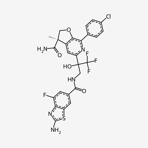 C[C@]1(C(N)=O)COc2c1cc(C(O)(CNC(=O)c1cc(F)c3nc(N)sc3c1)C(F)(F)F)nc2-c1ccc(Cl)cc1